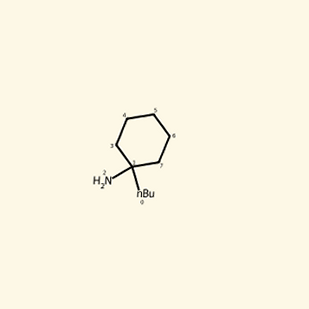 CCCCC1(N)CCCCC1